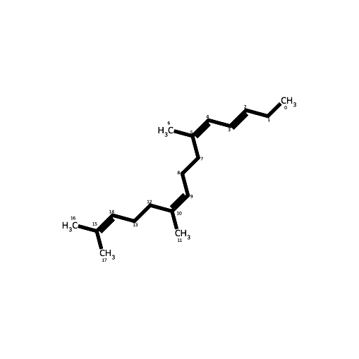 CCC=CC=C(C)CCC=C(C)CCC=C(C)C